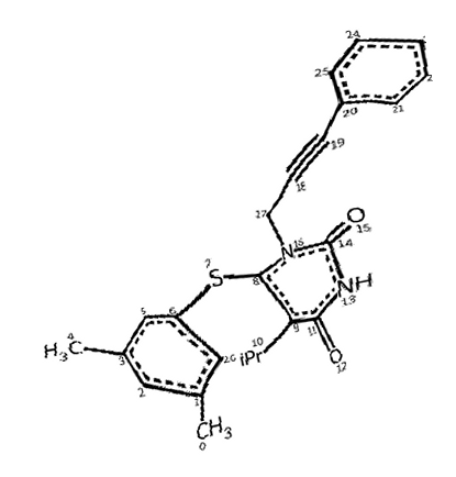 Cc1cc(C)cc(Sc2c(C(C)C)c(=O)[nH]c(=O)n2CC#Cc2ccccc2)c1